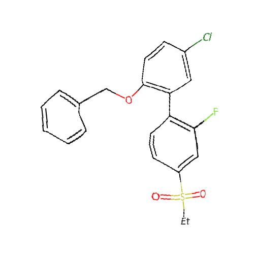 CCS(=O)(=O)c1ccc(-c2cc(Cl)ccc2OCc2ccccc2)c(F)c1